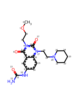 COCCn1c(=O)c2cc(NC(N)=O)ccc2n(CCN2CCCCC2)c1=O